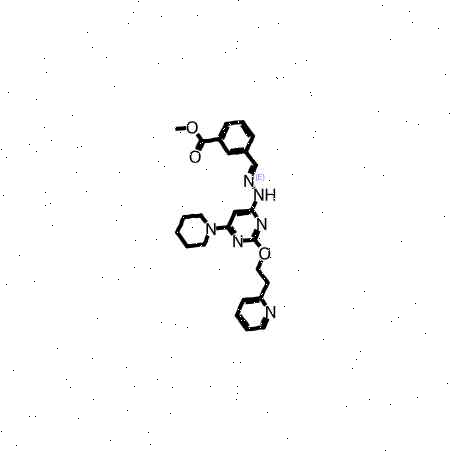 COC(=O)c1cccc(/C=N/Nc2cc(N3CCCCC3)nc(OCCc3ccccn3)n2)c1